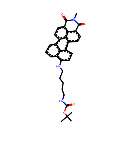 CN1C(=O)c2ccc3c4cccc5c(NCCCCCNC(=O)OC(C)(C)C)ccc(c6ccc(c2c36)C1=O)c54